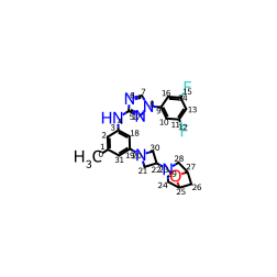 Cc1cc(Nc2ncn(-c3cc(F)cc(F)c3)n2)cc(N2CC(N3CC4CC(C3)O4)C2)c1